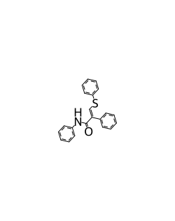 O=C(Nc1ccccc1)C(=CSc1ccccc1)c1ccccc1